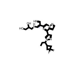 CCC(C1CC(F)(F)C1)n1cc(-c2nc(/C(C=N)=C/NCC(O)CO)cn3nccc23)cn1